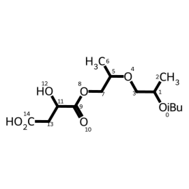 CC(C)COC(C)COC(C)COC(=O)C(O)CC(=O)O